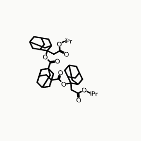 CC(C)OC(=O)CC1(OC(=O)C23CC4CC(C2)CC(C(=O)OC2(CC(=O)OC(C)C)C5CC6CC(C5)CC2C6)(C4)C3)C2CC3CC(C2)CC1C3